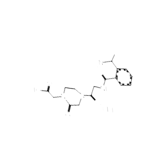 CC(N)c1ccccc1C(=O)NCC(=O)N1CCN(CC(=O)O)C(=O)C1.Cl